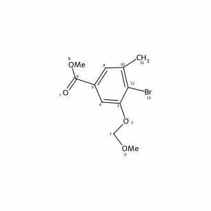 COCOc1cc(C(=O)OC)cc(C)c1Br